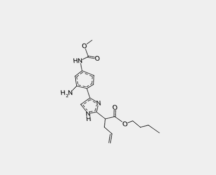 C=CCC(C(=O)OCCCC)c1nc(-c2ccc(NC(=O)OC)cc2N)c[nH]1